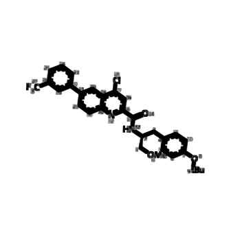 COC[C@H](Cc1ccc(OC(C)(C)C)cc1)NC(=O)c1cc(Cl)c2cc(-c3cccc(C(F)(F)F)c3)ccc2n1